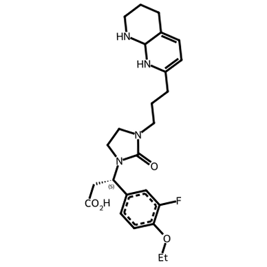 CCOc1ccc([C@H](CC(=O)O)N2CCN(CCCC3=CC=C4CCCNC4N3)C2=O)cc1F